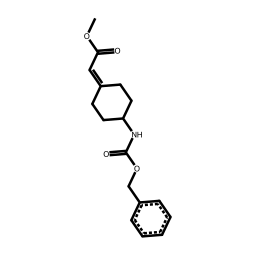 COC(=O)C=C1CCC(NC(=O)OCc2ccccc2)CC1